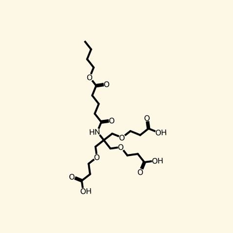 CCCCOC(=O)CCCC(=O)NC(COCCC(=O)O)(COCCC(=O)O)COCCC(=O)O